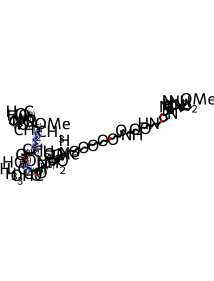 C=C[C@@H]1CCCCN1C(=O)C(=O)[C@]1(O)O[C@H](C[C@H](OC)/C(C)=C/C=C/C=C/[C@@H](C)C[C@@H](C)C(=O)[C@H](O)[C@H](O)/C(C)=C/[C@@H](C)C(=O)C[C@H](OC=O)[C@H](N)C[C@@H]2CC[C@@H](OC(=O)NCCOCCOCCOCCOCCOCCC(=O)NCCOCCOCCNCC3CCC(c4nc(-c5cc6cccc(OC)c6[nH]5)c5c(N)ncnn45)CC3)[C@H](OC)C2)CC[C@H]1C